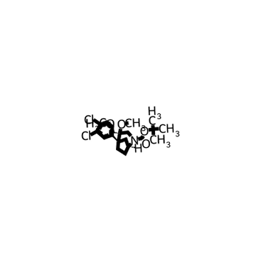 COC[C@]1(OC)CN(C(=O)OC(C)(C)C)[C@H]2CC[C@@]1(c1ccc(Cl)c(Cl)c1)C2